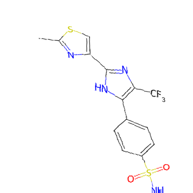 Cc1nc(-c2nc(C(F)(F)F)c(-c3ccc(S(N)(=O)=O)cc3)[nH]2)cs1